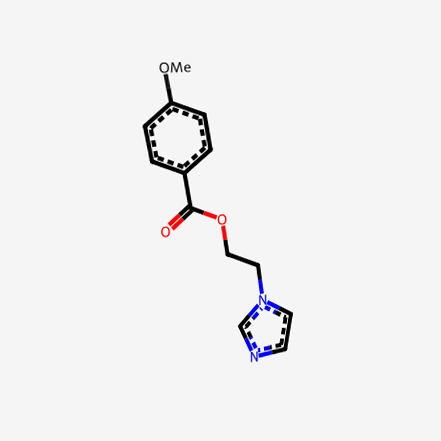 COc1ccc(C(=O)OCCn2ccnc2)cc1